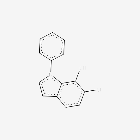 Oc1c(Cl)ccc2ccn(-c3ccccc3)c12